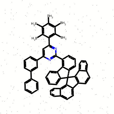 Bc1c(B)c(B)c(-c2cc(-c3cccc(-c4ccccc4)c3)nc(-c3cccc4c3-c3ccccc3C43c4c(ccc5ccccc45)-c4ccc5ccccc5c43)n2)c(B)c1B